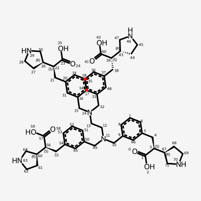 O=C(O)[C@@H](Cc1cccc(CN(CCN(Cc2cccc(C[C@H](C(=O)O)[C@H]3CCNC3)c2)Cc2cccc(C[C@H](C(=O)O)[C@H]3CCNC3)c2)Cc2cccc(C[C@H](C(=O)O)[C@H]3CCNC3)c2)c1)[C@H]1CCNC1